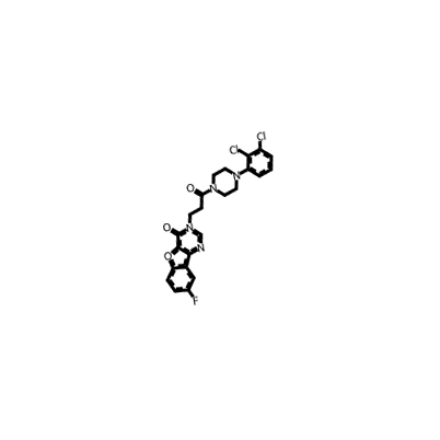 O=C(CCn1cnc2c(oc3ccc(F)cc32)c1=O)N1CCN(c2cccc(Cl)c2Cl)CC1